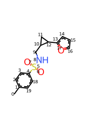 Cc1ccc(S(=O)(=O)NCC2CC2c2ccco2)cc1